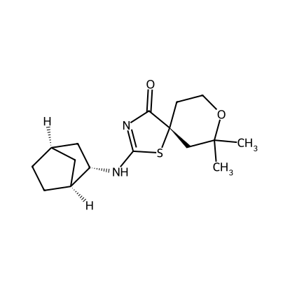 CC1(C)C[C@@]2(CCO1)SC(N[C@H]1C[C@@H]3CC[C@H]1C3)=NC2=O